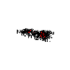 CC(C)c1cccc(C(C)C)c1SC1=C(/C=C/c2ccc(N(CCO[Si](c3cc(C(C)(C)C)cc(C(C)(C)C)c3)(c3cc(C(C)(C)C)cc(C(C)(C)C)c3)C(C)(C)C)CCO[Si](c3cc(C(C)(C)C)cc(C(C)(C)C)c3)(c3cc(C(C)(C)C)cc(C(C)(C)C)c3)C(C)(C)C)cc2)CC(C)(C)C/C1=C\C=C\C1=C(C#N)C(=C(C#N)C#N)OC1(c1ccccc1)C(F)(F)F